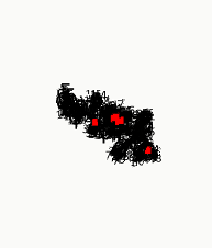 C=C(OS(=O)(=O)C(F)(F)F)[C@H](C)C[C@H]1CC[C@@H]2O[C@@H](CC[C@H](/C=C/[C@H](O[Si](C)(C)C(C)(C)C)[C@@H]3O[C@H]4CC[C@H](CC(=O)[C@@H]([C@@H]5[C@@H](OC)[C@@H](C[C@@H](CO[Si](C)(C)C(C)(C)C)O[Si](C)(C)C(C)(C)C)O[C@H]5CCO[Si](CC)(CC)CC)S(=O)(=O)c5ccccc5)O[C@@H]4[C@H](O[Si](C)(C)C(C)(C)C)[C@@H]3O[Si](C)(C)C(C)(C)C)OC(=O)c3ccccc3)C[C@]2(CI)O1